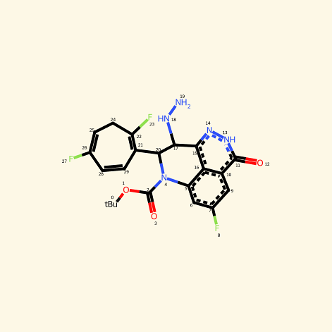 CC(C)(C)OC(=O)N1c2cc(F)cc3c(=O)[nH]nc(c23)C(NN)C1C1=C(F)CC=C(F)C=C1